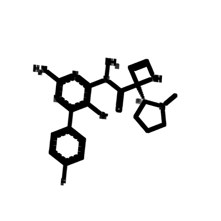 CN1CCC[C@@H]1C1(C(=O)N(N)c2nc(N)nc(-c3ccc(F)cc3)c2Br)C=CN1